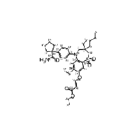 CCCCC1(CC)CN(c2ccc(C3(C(N)=O)CCCC3)cc2)c2cc(SC)c(O/C=C/C(=O)OCC)cc2S(=O)(=O)C1